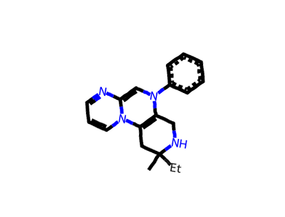 CCC1(C)CC2=C(CN1)N(c1ccccc1)C=C1N=CC=CN12